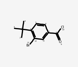 CC(C)(C)c1ccc(C(=O)Cl)cc1Br